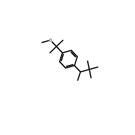 COC(C)(C)c1ccc(C(C)C(C)(C)C)cc1